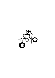 O=C(Nc1ccccc1)Oc1ncsc1NC1CCCC1